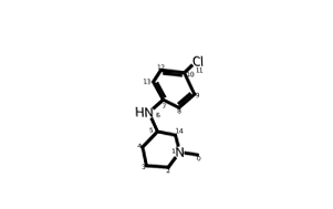 CN1CCCC(Nc2ccc(Cl)cc2)C1